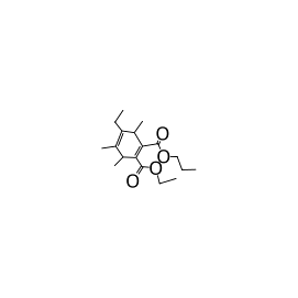 CCCOC(=O)C1=C(C(=O)OCC)C(C)C(C)=C(CC)C1C